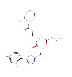 C[C@H](NC(=O)[C@H](CCC(=O)N1CCCC[C@@H]1C)NC(=O)CCC(C)(C)C)c1ncc(-c2ccc(F)cc2F)[nH]1